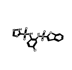 O=S(=O)(Nc1ccc(Cl)cc1NS(=O)(=O)c1cc2ccccc2o1)c1ncn[nH]1